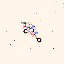 CC(C(C)N1N=CSC1C(=O)NC(=O)OCc1ccccc1)N(C(=O)OC(C)(C)C)c1ccccn1